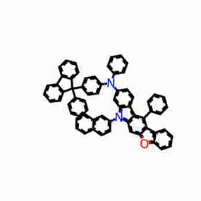 c1ccc(-c2c3c(cc4c2c2ccc(N(c5ccccc5)c5ccc(C6(c7ccccc7)c7ccccc7-c7ccccc76)cc5)cc2n4-c2ccc4ccccc4c2)oc2ccccc23)cc1